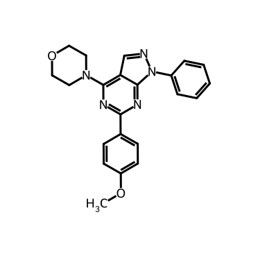 COc1ccc(-c2nc(N3CCOCC3)c3cnn(-c4ccccc4)c3n2)cc1